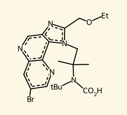 CCOCc1nc2cnc3cc(Br)cnc3c2n1CC(C)(C)N(C(=O)O)C(C)(C)C